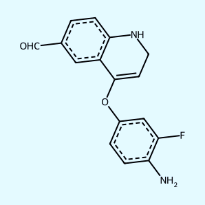 Nc1ccc(OC2=CCNc3ccc(C=O)cc32)cc1F